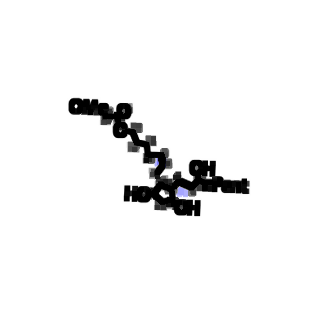 CCCCC[C@H](O)/C=C/[C@@H]1[C@@H](C/C=C\CCCCOC(=O)COC)[C@@H](O)C[C@H]1O